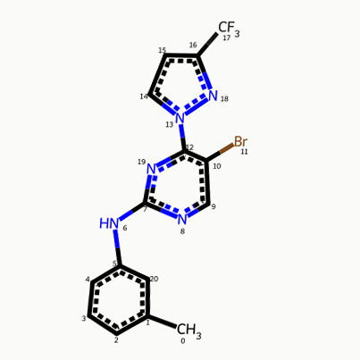 Cc1cccc(Nc2ncc(Br)c(-n3ccc(C(F)(F)F)n3)n2)c1